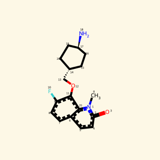 Cn1c(=O)ccc2ccc(F)c(OC[C@H]3CC[C@H](N)CC3)c21